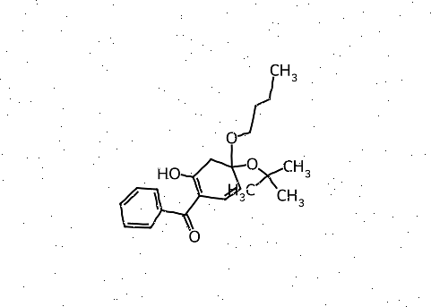 CCCCOC1(OC(C)(C)C)C=CC(C(=O)c2ccccc2)=C(O)C1